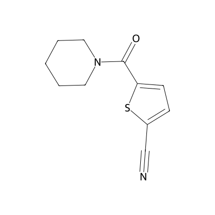 N#Cc1ccc(C(=O)N2CCCCC2)s1